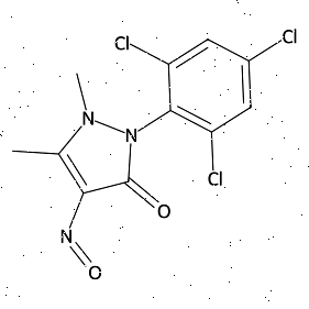 Cc1c(N=O)c(=O)n(-c2c(Cl)cc(Cl)cc2Cl)n1C